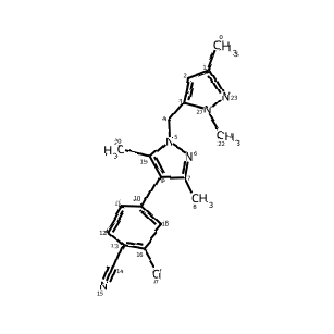 Cc1cc(Cn2nc(C)c(-c3ccc(C#N)c(Cl)c3)c2C)n(C)n1